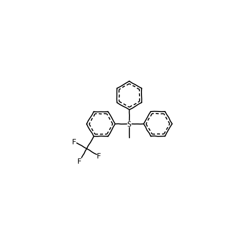 CS(c1ccccc1)(c1ccccc1)c1cccc(C(F)(F)F)c1